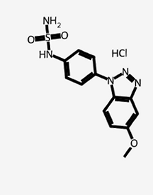 COc1ccc2c(c1)nnn2-c1ccc(NS(N)(=O)=O)cc1.Cl